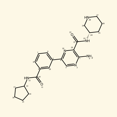 Nc1ncc(-c2cccc(C(=O)NC3CCCC3)c2)nc1C(=O)N[C@H]1CCCNC1